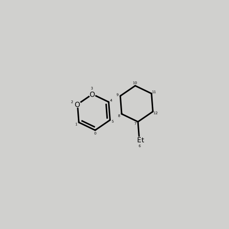 C1=COOC=C1.CCC1CCCCC1